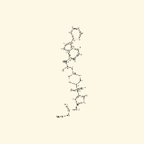 COCC(=O)Nc1nc(C)c(S(=O)(=O)N2CCN(CC(C)Nc3ncnc4c(-c5cccnc5)csc34)CC2)s1